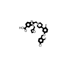 O=C(O)c1ccc2nc(CN3CC=C(c4cc(OCc5ccc(Cl)cc5F)ccc4F)CC3)n(CC3CCO3)c2c1